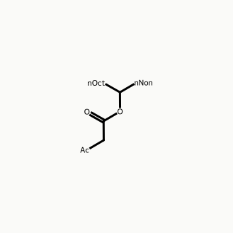 CCCCCCCCCC(CCCCCCCC)OC(=O)CC(C)=O